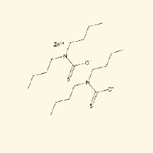 CCCCN(CCCC)C([O-])=S.CCCCN(CCCC)C([O-])=S.[Zn+2]